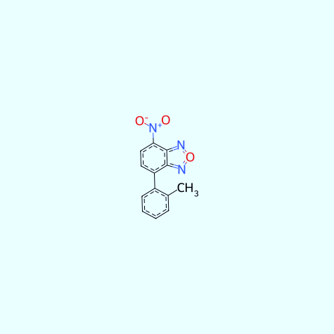 Cc1ccccc1-c1ccc([N+](=O)[O-])c2nonc12